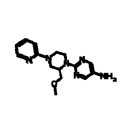 COC[C@H]1CN(c2ccccn2)CCN1c1ncc(N)cn1